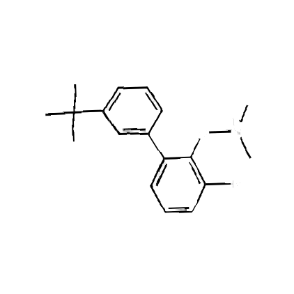 C[SiH](C)Oc1c(Br)cccc1-c1cccc(C(C)(C)C)c1